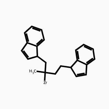 C[C]([Zr])(CCC1C=Cc2ccccc21)CC1C=Cc2ccccc21